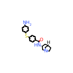 Nc1ccc(Sc2ccc(C(=O)N[C@@H]3C[C@H]4CCN(C4)C3)cc2)cc1